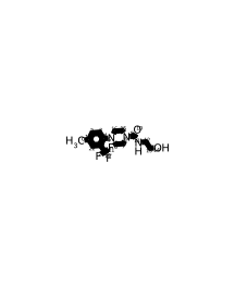 Cc1ccc(N2CCN(C(=O)NCCO)CC2)c(C(F)(F)F)c1